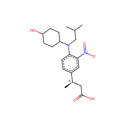 CC(C)CN(c1ccc([C@H](C)CC(=O)O)cc1[N+](=O)[O-])C1CCC(O)CC1